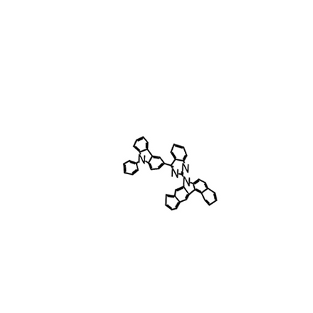 c1ccc(-n2c3ccccc3c3cc(-c4nc(-n5c6cc7ccccc7cc6c6c7ccccc7ccc65)nc5ccccc45)ccc32)cc1